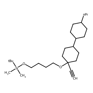 C#CC1(OCCCCO[Si](C)(C)C(C)(C)C)CCC(C2CCC(CCC)CC2)CC1